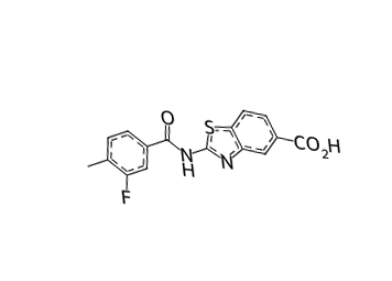 Cc1ccc(C(=O)Nc2nc3cc(C(=O)O)ccc3s2)cc1F